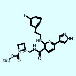 CC(C)(C)OC(=O)N1CC[C@@H]1CNC(=O)c1ccc(-c2cn[nH]c2)nc1NCCc1cccc(F)c1